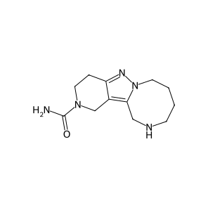 NC(=O)N1CCc2nn3c(c2C1)CNCCCC3